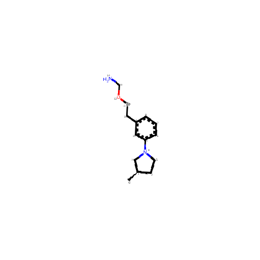 C[C@@H]1CCN(c2cccc(CBOCN)c2)C1